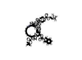 CC(C)(C)OC(=O)N[C@H]1CCCCC/C=C\[C@@H]2C[C@@]2(C(=O)NS(=O)(=O)N2CCN(C(=O)OCC[Si](C)(C)C)CC2)NC(=O)[C@@H]2C[C@@H](OC(=O)N3Cc4ccccc4C3)CN2C1=O